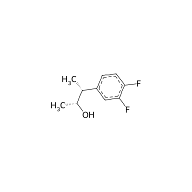 C[C@H](c1ccc(F)c(F)c1)[C@@H](C)O